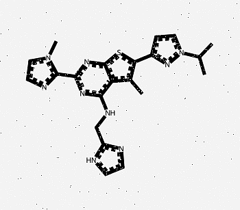 Cc1c(-c2ccn(C(C)C)n2)sc2nc(-c3nccn3C)nc(NCc3ncc[nH]3)c12